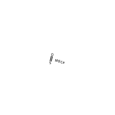 O=S.[Ca].[Mg]